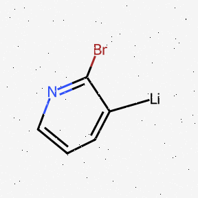 [Li][c]1cccnc1Br